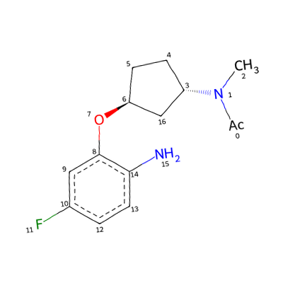 CC(=O)N(C)[C@H]1CC[C@H](Oc2cc(F)ccc2N)C1